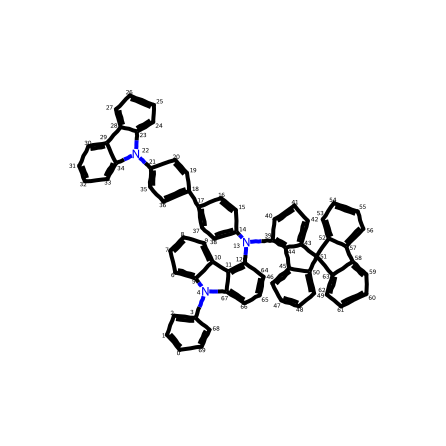 c1ccc(-n2c3ccccc3c3c(N(c4ccc(-c5ccc(-n6c7ccccc7c7ccccc76)cc5)cc4)c4cccc5c4-c4ccccc4C54c5ccccc5-c5ccccc54)cccc32)cc1